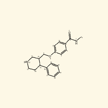 CNC(=O)c1ccc(OCC2CNCCC2c2ccccc2)cc1